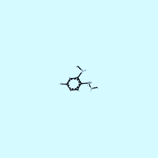 CSNc1ccc(F)cc1SC